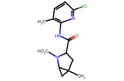 Cc1ccc(Cl)nc1NC(=O)C1CC2(C)CC2N1C(=O)O